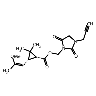 C#CCN1CC(=O)N(COC(=O)[C@@H]2[C@H](/C=C(/C)OC)C2(C)C)C1=O